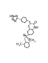 Cc1cccc(C)c1CS(=O)(=O)c1ccc2c(c1)SC(=Cc1ccc(-c3nn[nH]n3)cc1)C(=O)N2